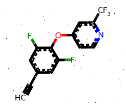 C#Cc1cc(F)c(Oc2ccnc(C(F)(F)F)c2)c(F)c1